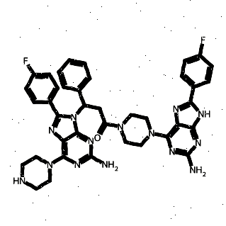 Nc1nc(N2CCN(C(=O)CC(c3ccccc3)n3c(-c4ccc(F)cc4)nc4c(N5CCNCC5)nc(N)nc43)CC2)c2nc(-c3ccc(F)cc3)[nH]c2n1